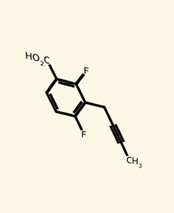 CC#CCc1c(F)ccc(C(=O)O)c1F